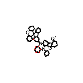 COc1cccc2oc3c(N(c4ccccc4)c4ccccc4)c(N(c4ccccc4)c4ccc5c(c4)-c4ccccc4C54C5=C(C=CCC5)Oc5ccccc54)ccc3c12